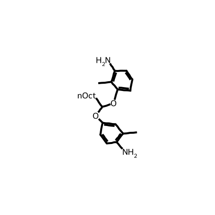 CCCCCCCCC(Oc1ccc(N)c(C)c1)Oc1cccc(N)c1C